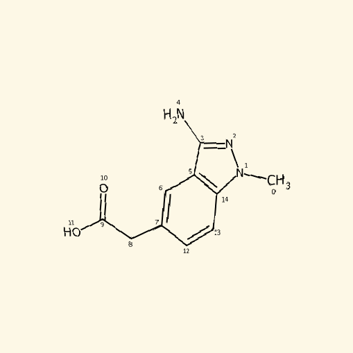 Cn1nc(N)c2cc(CC(=O)O)ccc21